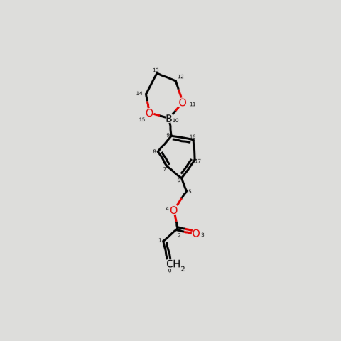 C=CC(=O)OCc1ccc(B2OCCCO2)cc1